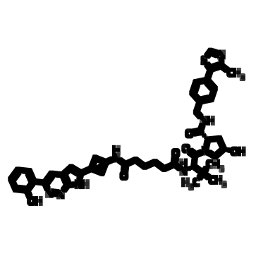 Cc1ncsc1-c1ccc(CNC(=O)[C@@H]2C[C@@H](O)CN2C(=O)[C@@H](NC(=O)CCCCC(=O)NC23CC(c4cc5cc(-c6ccccc6O)nnc5[nH]4)(C2)C3)C(C)(C)C)cc1